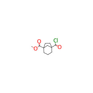 COC(=O)C12CCCC(C(=O)Cl)(CC1)C2